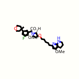 COc1cc(CCCCCO[C@@H]2CCN([C@@H](C(=O)O)c3cc(C4(C)CCOCC4)cc(F)c3OC)C2)nc2c1CCCN2